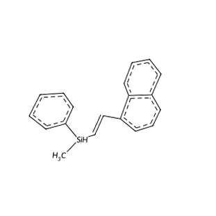 C[SiH](C=Cc1cccc2ccccc12)c1ccccc1